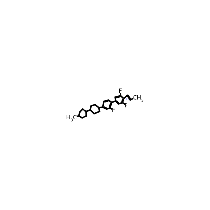 C/C=C/c1c(F)cc(-c2ccc(C3CCC(C4CCC(C)CC4)CC3)cc2F)cc1F